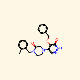 Cc1ccccc1CN1CCN(c2cn[nH]c(=O)c2OCc2ccccc2)CC1=O